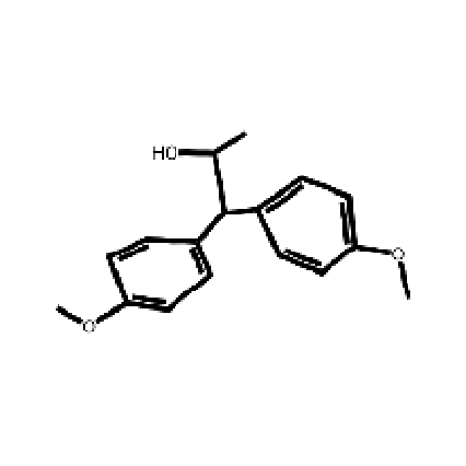 COc1ccc(C(c2ccc(OC)cc2)C(C)O)cc1